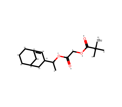 CC(OC(=O)COC(=O)C(C)(C)C(C)(C)C)C1C=C2CCCC(C2)C1